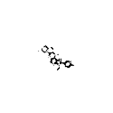 CC[C@H](Nc1ccnc2c1nc(-c1ccc(C)nc1)n2CC)C(=O)N1C[C@@H](C)O[C@@H](C)C1